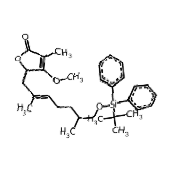 COC1=C(C)C(=O)OC1C/C(C)=C/CCC(C)CO[Si](c1ccccc1)(c1ccccc1)C(C)(C)C